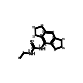 CCNC(=S)Nc1c2c(cc3c1CCC3)CCC2